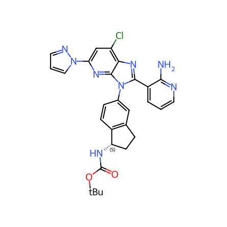 CC(C)(C)OC(=O)N[C@H]1CCc2cc(-n3c(-c4cccnc4N)nc4c(Cl)cc(-n5cccn5)nc43)ccc21